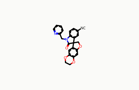 [C-]#[N+]c1ccc2c(c1)C1(COc3cc4c(cc31)OCCO4)C(=O)N2Cc1ccccn1